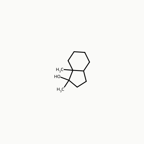 CC1(O)CCC2CCCCC21C